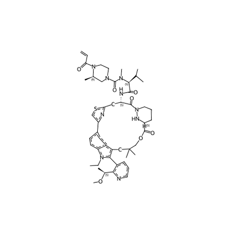 C=CC(=O)N1CCN(C(=O)N(C)[C@H](C(=O)N[C@H]2Cc3nc(cs3)-c3ccc4c(c3)c(c(-c3cccnc3[C@H](C)OC)n4CC)CC(C)(C)COC(=O)[C@@H]3CCCN(N3)C2=O)C(C)C)C[C@H]1C